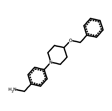 NCc1ccc(N2CCC(OCc3ccccc3)CC2)cc1